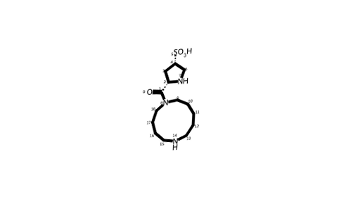 O=C([C@@H]1C[C@H](S(=O)(=O)O)CN1)N1CCCCCNCCCC1